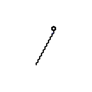 CCCCCCCCCCCCCCCCC[CH]C/C=C/c1ccccc1